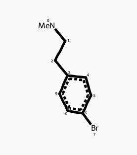 CNCCc1ccc(Br)cc1